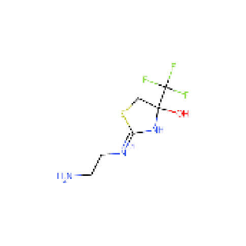 NCC/N=C1/NC(O)(C(F)(F)F)CS1